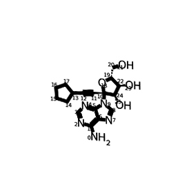 Nc1ncnc2c1ncn2[C@]1(C#CC2CCCC2)O[C@H](CO)[C@@H](O)[C@H]1O